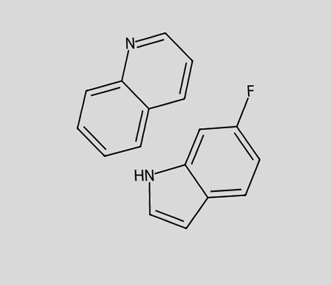 Fc1ccc2cc[nH]c2c1.c1ccc2ncccc2c1